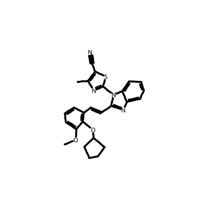 COc1cccc(/C=C/c2nc3ccccc3n2-c2nc(C)c(C#N)s2)c1OC1CCCC1